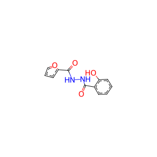 O=C(NNC(=O)c1ccccc1O)c1ccco1